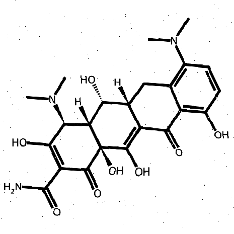 CN(C)c1ccc(O)c2c1C[C@@H]1C(=C(O)[C@]3(O)C(=O)C(C(N)=O)=C(O)[C@@H](N(C)C)[C@@H]3[C@@H]1O)C2=O